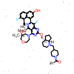 C#Cc1c(F)ccc2cc(O)cc(-c3nc(OC)c4c(N5CCOC[C@@](C)(O)C5)nc(OC[C@]56CCC[C@H]5N(CC5CCN(C(=O)C(C)C)CC5)CCC6)nc4c3F)c12